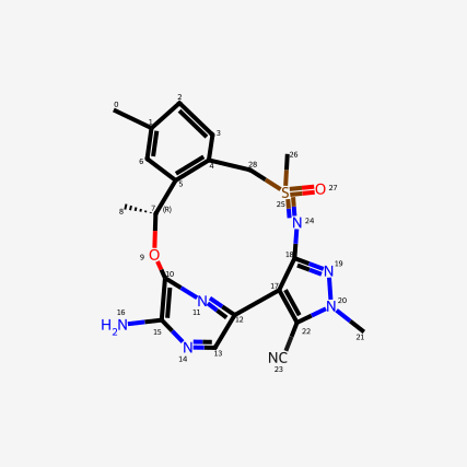 Cc1ccc2c(c1)[C@@H](C)Oc1nc(cnc1N)-c1c(nn(C)c1C#N)N=S(C)(=O)C2